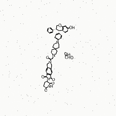 O=C1CCC(N2C(=O)c3cc4c(cc3C2=O)CN(C(=O)CN2CCC3(CC2)CCN(c2ccc([C@H]5c6ccc(O)cc6OC[C@H]5c5ccccc5)cc2)CC3)C4)C(=O)N1.O=CO